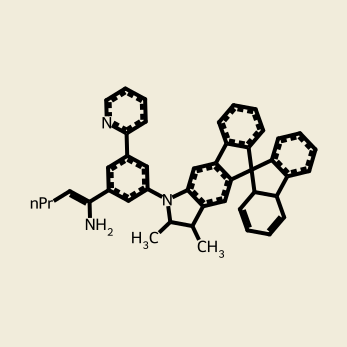 CCC/C=C(\N)c1cc(-c2ccccn2)cc(N2c3cc4c(cc3C(C)C2C)C2(c3ccccc3-4)c3ccccc3C3C=CC=CC32)c1